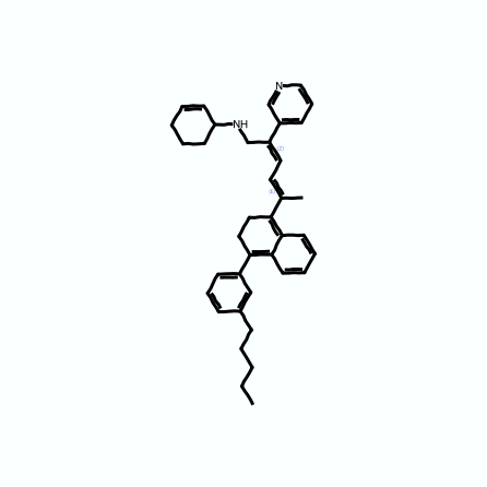 CCCCCc1cccc(C2=c3ccccc3=C(/C(C)=C/C=C(\CNC3C=CCCC3)c3cccnc3)CC2)c1